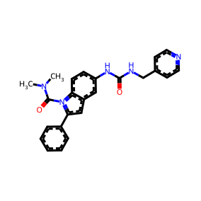 CN(C)C(=O)n1c(-c2ccccc2)cc2cc(NC(=O)NCc3ccncc3)ccc21